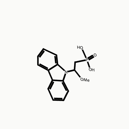 COC(CP(=O)(O)O)n1c2ccccc2c2ccccc21